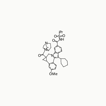 COc1ccc2c(c1)C1CC1(C(=O)N1CCN3CCC1CC3)Cn1c-2c(C2CCCCC2)c2ccc(C(=O)NS(=O)(=O)C(C)C)cc21